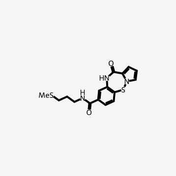 CSCCCNC(=O)c1ccc2c(c1)NC(=O)c1cccn1S2